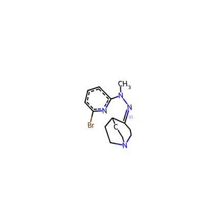 CN(/N=C1/CCN2CCC1CC2)c1cccc(Br)n1